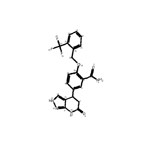 NC(=O)c1cc(C2CC(=O)Nc3n[nH]cc32)ccc1OCc1ccccc1C(F)(F)F